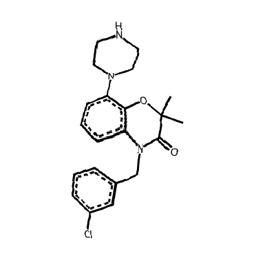 CC1(C)Oc2c(N3CCNCC3)cccc2N(Cc2cccc(Cl)c2)C1=O